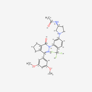 COc1cc(OC)cc(-c2nn(-c3cc(N4CC[C@H](NC(C)=O)C4)ccc3C(F)(F)F)c(=O)c3c2CCC3)c1